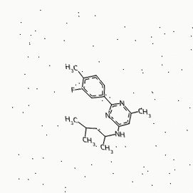 Cc1cc(NC(C)CC(C)C)nc(-c2ccc(C)c(F)c2)n1